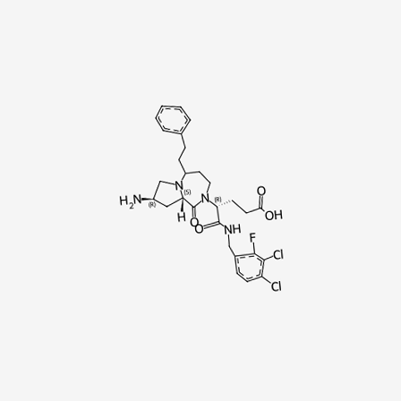 N[C@@H]1C[C@H]2C(=O)N([C@H](CCC(=O)O)C(=O)NCc3ccc(Cl)c(Cl)c3F)CCC(CCc3ccccc3)N2C1